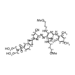 COCCCNc1nc(Nc2c(C)cc(C)cc2C)nc(NCCCOC)c1N=Nc1nn(-c2nc3cc(S(=O)(=O)N(CC(=O)O)CC(=O)O)ccc3s2)cc1C#N